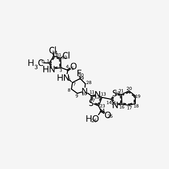 Cc1[nH]c(C(=O)N[C@@H]2CCN(c3nc(-c4nc5ccccc5s4)c(C(=O)O)s3)C[C@@H]2F)c(Cl)c1Cl